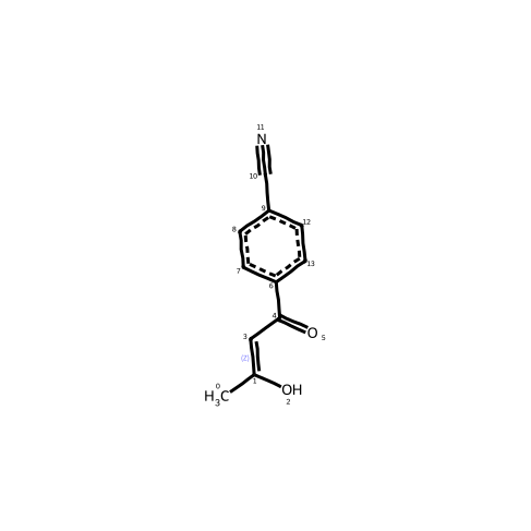 C/C(O)=C/C(=O)c1ccc(C#N)cc1